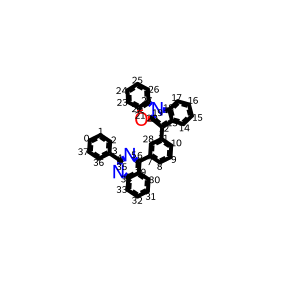 c1ccc(-c2nc(-c3cccc(-c4c5ccccc5n5c4oc4ccccc45)c3)c3ccccc3n2)cc1